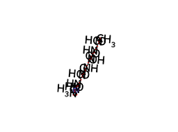 CC(=O)N(O)CCCCCNC(=O)CCC(=O)N(O)CCCCCNC(=O)CCC(=O)N(O)CCCCCNC(=O)N/N=C(\C)c1ccccn1